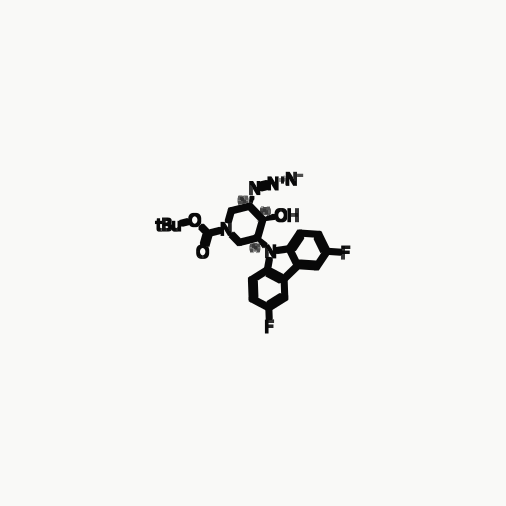 CC(C)(C)OC(=O)N1C[C@H](N=[N+]=[N-])[C@@H](O)[C@@H](n2c3ccc(F)cc3c3cc(F)ccc32)C1